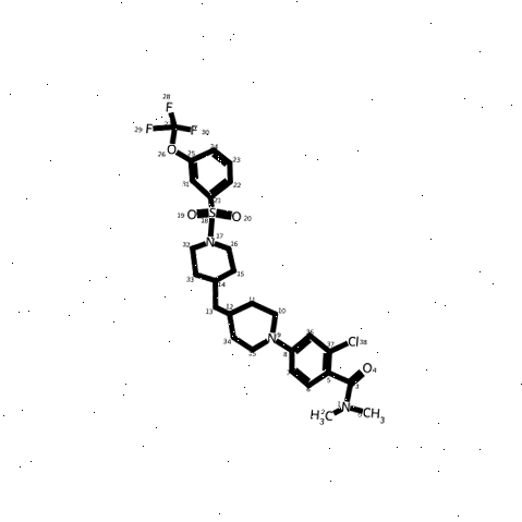 CN(C)C(=O)c1ccc(N2CCC(CC3CCN(S(=O)(=O)c4cccc(OC(F)(F)F)c4)CC3)CC2)cc1Cl